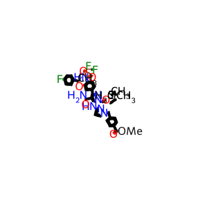 COC(=O)c1ccc(Cn2ccc(Nc3c(C(N)=O)c(-c4ccc(NS(=O)(=O)C(F)F)c(O[C@@H](C)c5ccc(F)cc5)c4)nn3COCC[Si](C)(C)C)n2)cc1